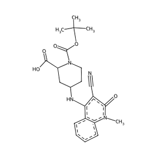 Cn1c(=O)c(C#N)c(NC2CCN(C(=O)OC(C)(C)C)C(C(=O)O)C2)c2ccccc21